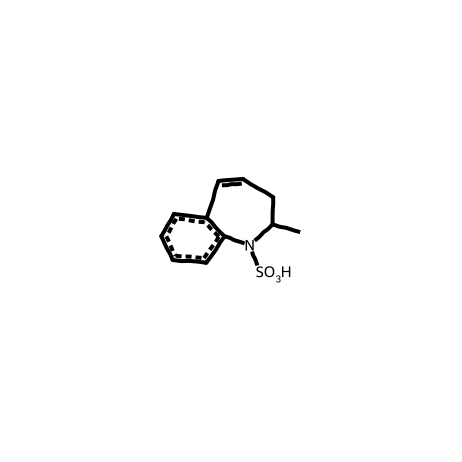 CC1CC=Cc2ccccc2N1S(=O)(=O)O